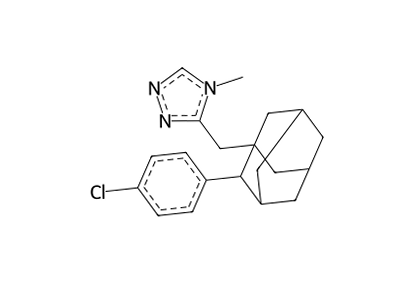 Cn1cnnc1CC12CC3CC(CC(C3)C1c1ccc(Cl)cc1)C2